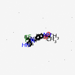 CC(C)S(=O)(=O)N[C@H]1Cc2ccc(Cn3nc(C(F)(F)F)c4c3CCNC4)cc2C1